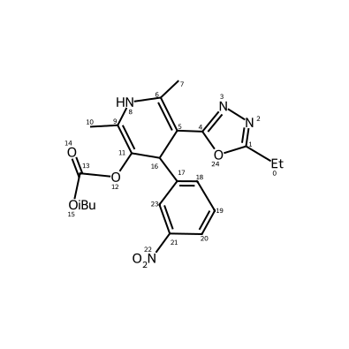 CCc1nnc(C2=C(C)NC(C)=C(OC(=O)OCC(C)C)C2c2cccc([N+](=O)[O-])c2)o1